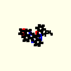 CC[C@H](NC(=O)c1c(CN2CCC3(CC2)OCCO3)c(-c2ccccc2)nc2ccccc12)c1ccccc1